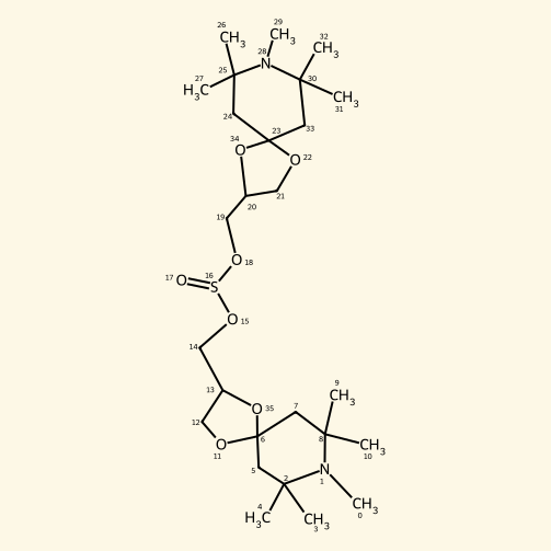 CN1C(C)(C)CC2(CC1(C)C)OCC(COS(=O)OCC1COC3(CC(C)(C)N(C)C(C)(C)C3)O1)O2